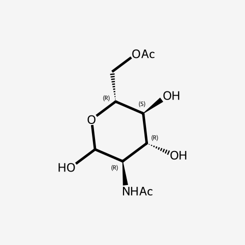 CC(=O)N[C@H]1C(O)O[C@H](COC(C)=O)[C@@H](O)[C@@H]1O